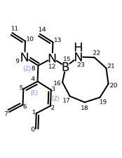 C=C\C=C/C(=C\C=C)C(=N/C=C)/N(C=C)B1CCCCCCCN1